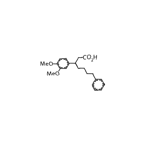 COc1ccc(C(CCCCc2ccccc2)CC(=O)O)cc1OC